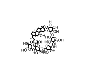 C[C@H](CC[C@@H](O[C@@H]1O[C@H](CO[C@H]2O[C@H](CO)[C@@H](O)[C@H](O)[C@H]2O)[C@@H](O)[C@H](O)[C@H]1O[C@H]1C[C@@H](O)[C@H](O)[C@@H](CO)O1)C(C)(C)O)C1CC[C@@]2(C)C3CC=C4C(CC[C@H](O[C@@H]5O[C@H](CO[C@H]6O[C@H](CO)[C@@H](O)[C@H](O)[C@H]6O)[C@@H](O)[C@H](O)[C@H]5O)C4(C)C)[C@]3(C)[C@H](O)C[C@]12C